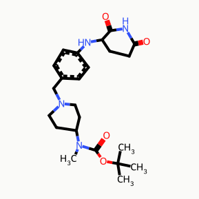 CN(C(=O)OC(C)(C)C)C1CCN(Cc2ccc(NC3CCC(=O)NC3=O)cc2)CC1